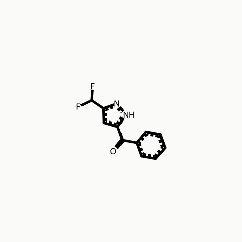 O=C(c1ccccc1)c1cc(C(F)F)n[nH]1